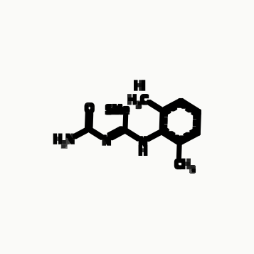 CS/C(=N\C(N)=O)Nc1c(C)cccc1C.I